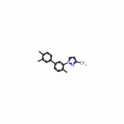 Cc1ccc(-c2ccc(C)c(-n3ccc(C(F)(F)F)n3)c2)cc1C